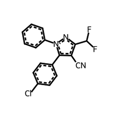 N#Cc1c(C(F)F)nn(-c2ccccc2)c1-c1ccc(Cl)cc1